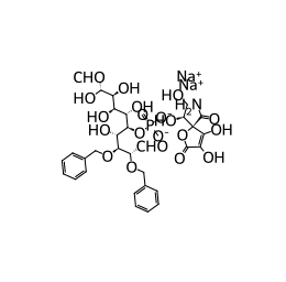 NC(=O)[C@]1([C@@H](O)CO)OC(=O)C(O)=C1O.O=C[C@@H](O)[C@@H](O)[C@H](O)[C@H](O)[C@@H](OP(=O)([O-])[O-])[C@@H](O)[C@H](OCc1ccccc1)[C@H](C=O)OCc1ccccc1.[Na+].[Na+]